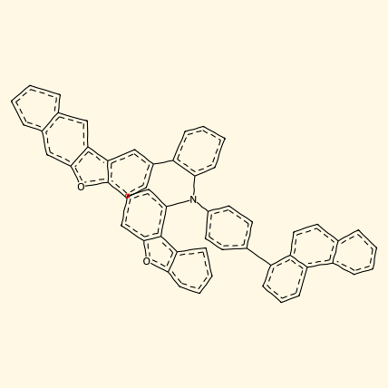 c1ccc(N(c2ccc(-c3cccc4c3ccc3ccccc34)cc2)c2cccc3oc4ccccc4c23)c(-c2ccc3oc4cc5ccccc5cc4c3c2)c1